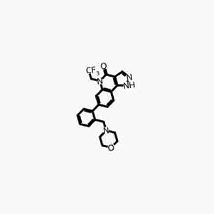 O=c1c2cn[nH]c2c2ccc(-c3ccccc3CN3CCOCC3)cc2n1CC(F)(F)F